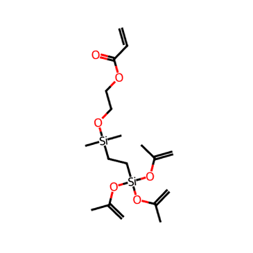 C=CC(=O)OCCO[Si](C)(C)CC[Si](OC(=C)C)(OC(=C)C)OC(=C)C